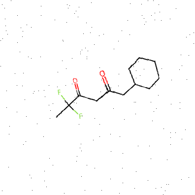 CC(F)(F)C(=O)CC(=O)CC1CCCCC1